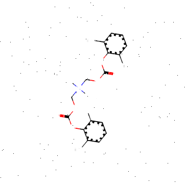 CC(C)c1cccc(C(C)C)c1OC(=O)OC[N+](C)(C)COC(=O)Oc1c(C(C)C)cccc1C(C)C.[I-]